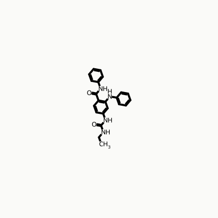 CCNC(=O)Nc1ccc(C(=O)Nc2ccccc2)c(Nc2ccccc2)c1